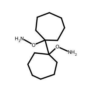 NOC1(C2(ON)CCCCCC2)CCCCCC1